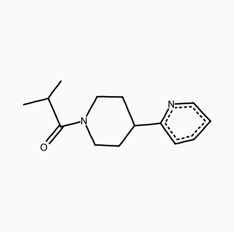 CC(C)C(=O)N1CCC(c2ccccn2)CC1